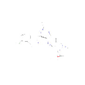 Cc1nc(Nc2cccc(Cl)c2C)c2ncc(CN3CC[C@](C)(O)C3)cc2n1